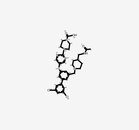 CC(=O)NCC1CCN(Cc2cc(Oc3cnc(N4CCN(C(=O)O)CC4)nc3)cc(-c3cc(Cl)cc(Cl)c3)c2)CC1